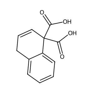 O=C(O)C1(C(=O)O)C=CCc2ccccc21